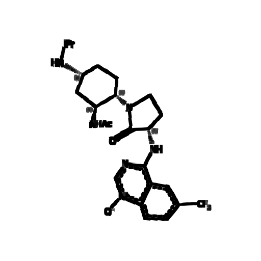 CC(=O)N[C@H]1C[C@H](NC(C)C)CC[C@@H]1N1CC[C@H](Nc2nc[n+]([O-])c3ccc(C(F)(F)F)cc23)C1=O